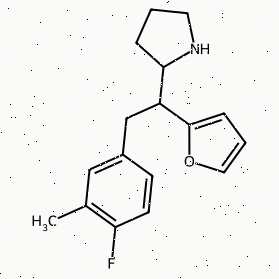 Cc1cc(CC(c2ccco2)C2CCCN2)ccc1F